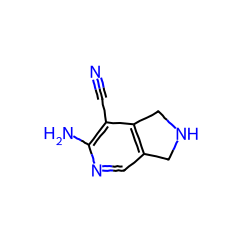 N#Cc1c(N)ncc2c1CNC2